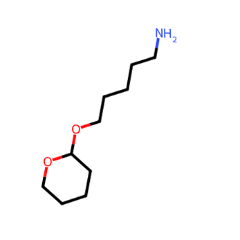 NCCCCCOC1CCCCO1